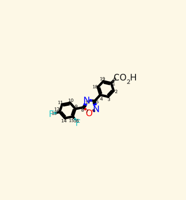 O=C(O)c1ccc(-c2noc(-c3ccc(F)cc3F)n2)cc1